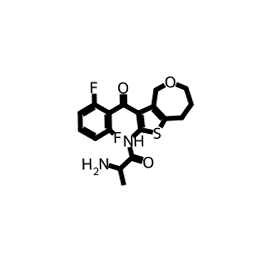 CC(N)C(=O)Nc1sc2c(c1C(=O)c1c(F)cccc1F)COCCC2